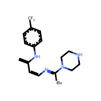 C=C(/C=C\N=C(/C(C)CC)N1CCNCC1)Nc1ccc(C(F)(F)F)cc1